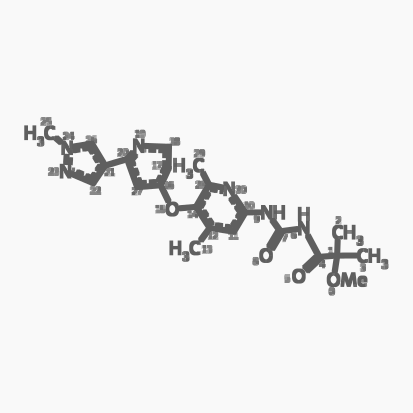 COC(C)(C)C(=O)NC(=O)Nc1cc(C)c(Oc2ccnc(-c3cnn(C)c3)c2)c(C)n1